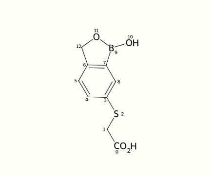 O=C(O)CSc1ccc2c(c1)B(O)OC2